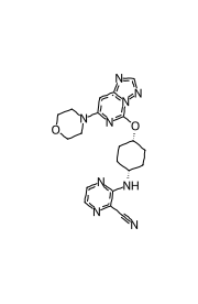 N#Cc1nccnc1N[C@H]1CC[C@@H](Oc2nc(N3CCOCC3)cc3ncnn23)CC1